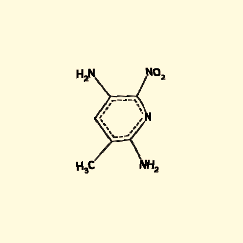 Cc1cc(N)c([N+](=O)[O-])nc1N